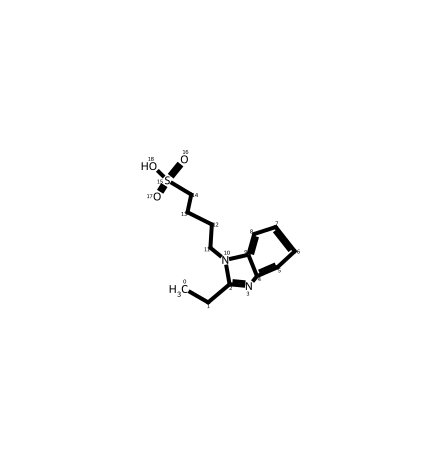 CCc1nc2ccccc2n1CCCCS(=O)(=O)O